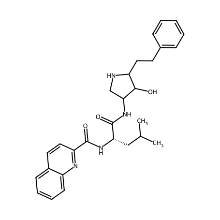 CC(C)C[C@H](NC(=O)c1ccc2ccccc2n1)C(=O)NC1CNC(CCc2ccccc2)C1O